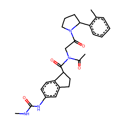 CNC(=O)Nc1ccc2c(c1)CCC2C(=O)N(CC(=O)N1CCCC1c1ccccc1C)C(C)=O